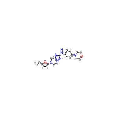 Cc1ccc(N2C=Cn3nc(Nc4ccc(N5CCOCC5)cc4)nc3C2)o1